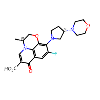 C[C@H]1COc2c(N3CC[C@H](N4CCOCC4)C3)c(F)cc3c(=O)c(C(=O)O)cn1c23